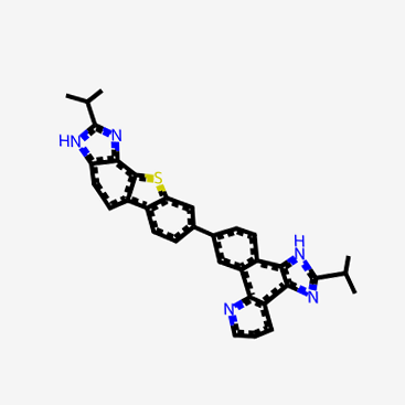 CC(C)c1nc2c(ccc3c4ccc(-c5ccc6c(c5)c5ncccc5c5nc(C(C)C)[nH]c65)cc4sc32)[nH]1